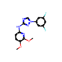 COc1ccc(Nc2ncn(-c3cc(F)cc(F)c3)n2)nc1OC